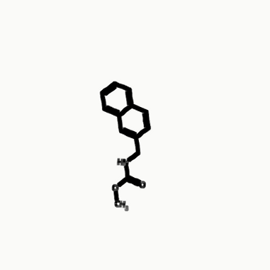 COC(=O)NCc1ccc2ccccc2c1